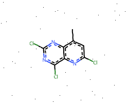 Cc1cc(Cl)nc2c(Cl)nc(Cl)nc12